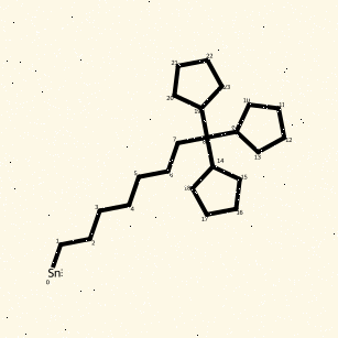 [Sn][CH2]CCCCCCC(C1CCCC1)(C1CCCC1)C1CCCC1